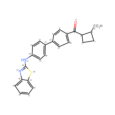 O=C(O)C1CCC1C(=O)c1ccc(-c2ccc(Nc3nc4ccccc4s3)cc2)cc1